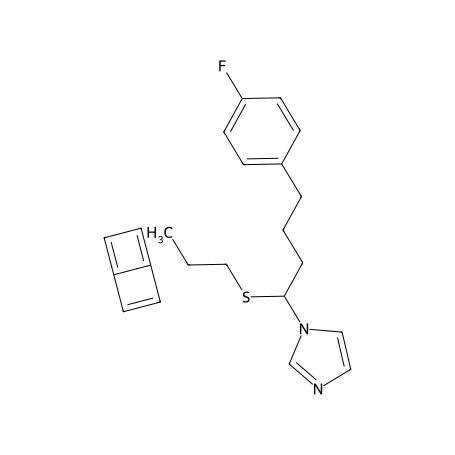 CCCSC(CCCc1ccc(F)cc1)n1ccnc1.c1cc2ccc1-2